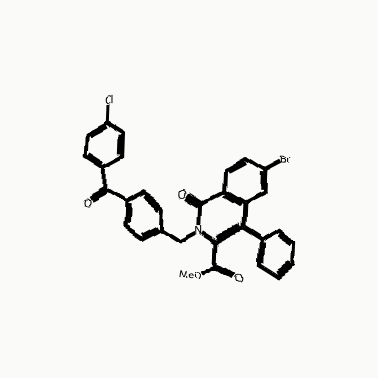 COC(=O)c1c(-c2ccccc2)c2cc(Br)ccc2c(=O)n1Cc1ccc(C(=O)c2ccc(Cl)cc2)cc1